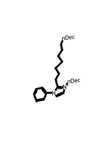 CCCCCCCCCCCCCCCCCc1n(-c2ccccc2)cc[n+]1CCCCCCCCCC